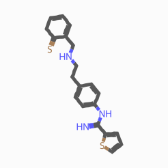 N=C(Nc1ccc(CCNCC2=CC=CCC2=S)cc1)c1cccs1